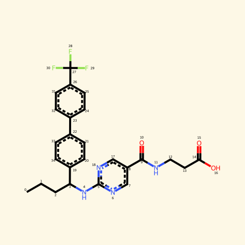 CCCC(Nc1ncc(C(=O)NCCC(=O)O)cn1)c1ccc(-c2ccc(C(F)(F)F)cc2)cc1